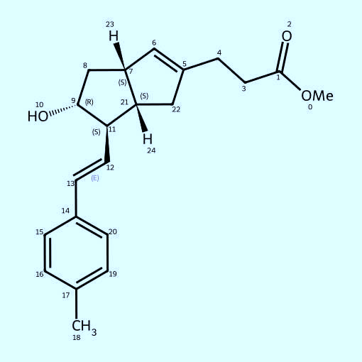 COC(=O)CCC1=C[C@H]2C[C@@H](O)[C@H](/C=C/c3ccc(C)cc3)[C@H]2C1